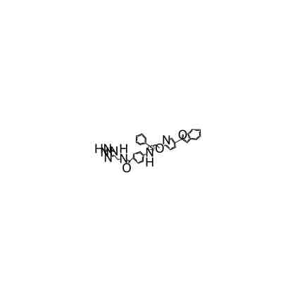 O=C(NCc1nn[nH]n1)c1ccc(N[C@H](COc2ccc(-c3cc4ccccc4o3)cn2)c2ccccc2)cc1